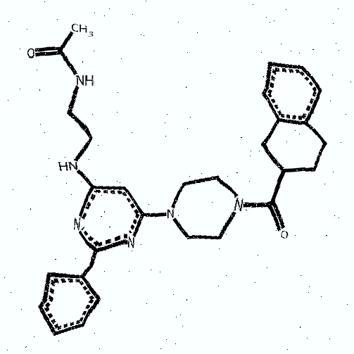 CC(=O)NCCNc1cc(N2CCN(C(=O)C3CCc4ccccc4C3)CC2)nc(-c2ccccc2)n1